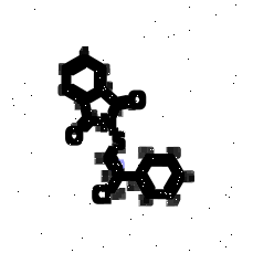 O=C1c2ccccc2C(=O)N1S/C=C(/Cl)c1ccccc1